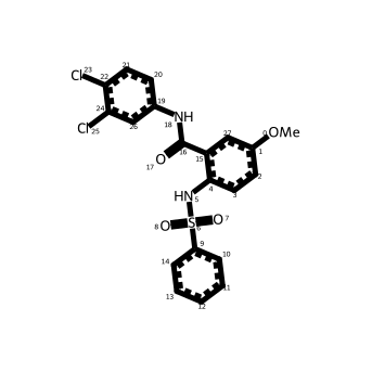 COc1ccc(NS(=O)(=O)c2ccccc2)c(C(=O)Nc2ccc(Cl)c(Cl)c2)c1